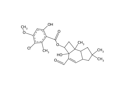 COc1cc(O)c(C(=O)OC2CC3(C)C4CC(C)(C)CC4C=C(C=O)C23O)c(C)c1Cl